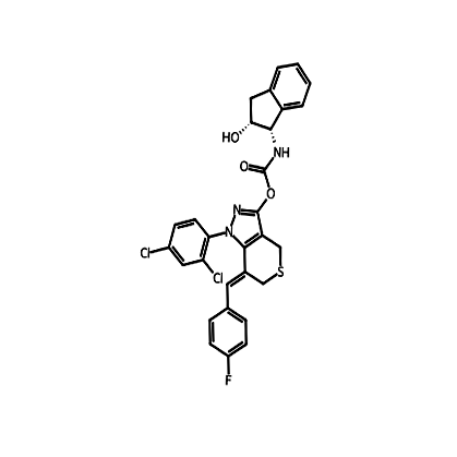 O=C(N[C@H]1c2ccccc2C[C@H]1O)Oc1nn(-c2ccc(Cl)cc2Cl)c2c1CSC/C2=C\c1ccc(F)cc1